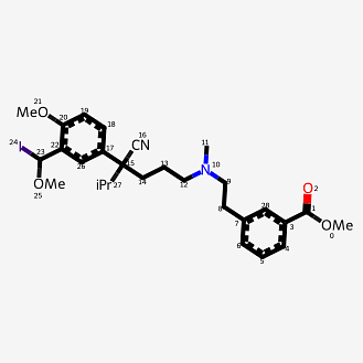 COC(=O)c1cccc(CCN(C)CCCC(C#N)(c2ccc(OC)c(C(I)OC)c2)C(C)C)c1